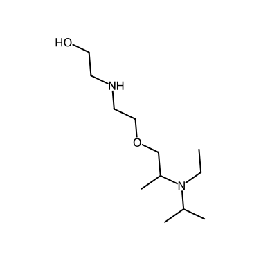 CCN(C(C)C)C(C)COCCNCCO